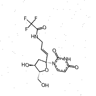 O=C(NC/C=C/[C@]1(n2ccc(=O)[nH]c2=O)C[C@H](O)[C@@H](CO)O1)C(F)(F)F